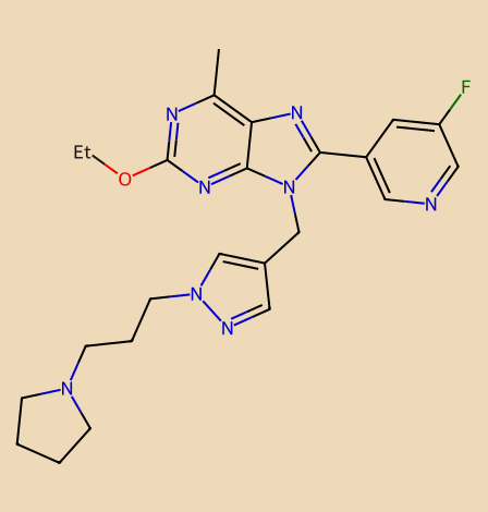 CCOc1nc(C)c2nc(-c3cncc(F)c3)n(Cc3cnn(CCCN4CCCC4)c3)c2n1